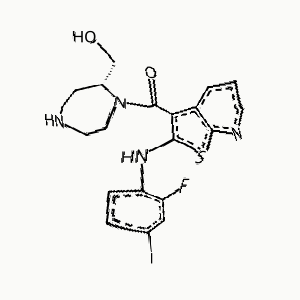 O=C(c1c(Nc2ccc(I)cc2F)sc2ncccc12)N1CCNC[C@@H]1CO